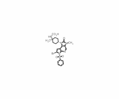 Cn1c(=O)n([C@H]2CC[C@@](C)(NC(=O)O)CC2)c2c3cc(Br)n(S(=O)(=O)c4ccccc4)c3ncc21